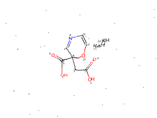 O=C(O)[CH]C1(C(=O)O)C=NC=CO1.[KH].[NaH]